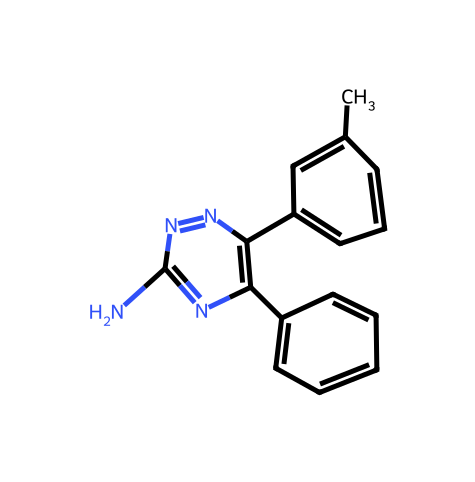 Cc1cccc(-c2nnc(N)nc2-c2ccccc2)c1